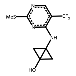 CSc1ncc(C(F)(F)F)c(NC23CC2(O)C3)n1